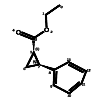 CCOC(=O)[C@H]1C[C@@H]1c1ccccc1